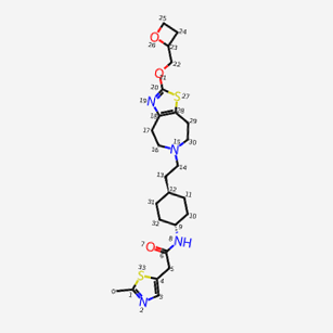 Cc1ncc(CC(=O)N[C@H]2CC[C@H](CCN3CCc4nc(OCC5CCO5)sc4CC3)CC2)s1